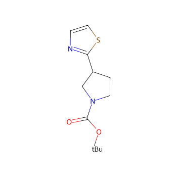 CC(C)(C)OC(=O)N1CCC(c2nccs2)C1